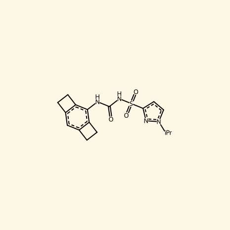 CC(C)n1ccc(S(=O)(=O)NC(=O)Nc2c3c(cc4c2CC4)CC3)n1